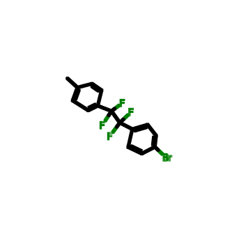 Cc1ccc(C(F)(F)C(F)(F)c2ccc(Br)cc2)cc1